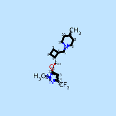 CC1CCN(CC2CC[C@H]2COc2cc(C(F)(F)F)nn2C)CC1